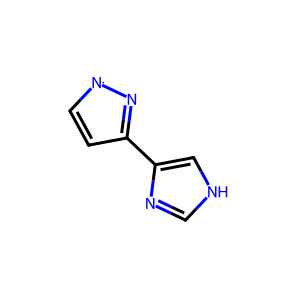 C1=CC(c2c[nH]cn2)=N[N]1